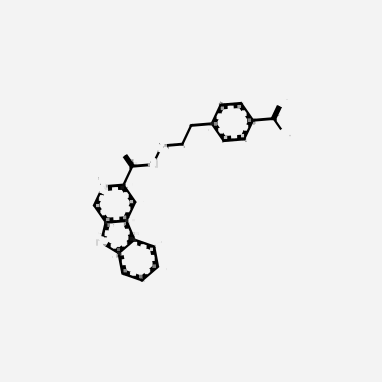 O=C(O)c1ccc(CCNNC(=O)c2cc3c(cn2)[nH]c2ccccc23)cc1